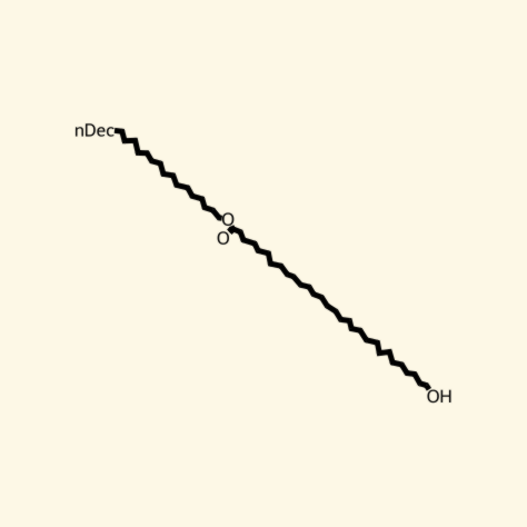 CCCCCCCCCCCCCCCCCCCCCCCCCCOC(=O)CCCCCCCCCCCCCCCCCCCCCCCCCCCCCO